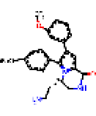 CC(C)COc1ccc(-c2c(-c3cccc(OC(F)(F)F)c3)cc3n2[C@@H](CCN)CNC3=O)cc1